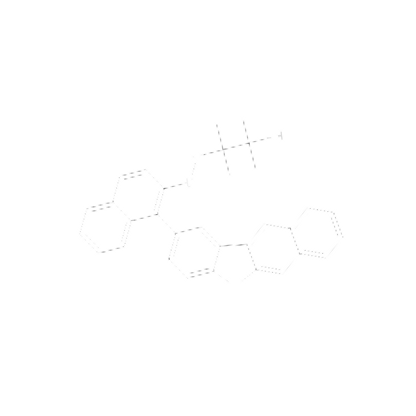 CC(C)(O)C(C)(C)OBc1ccc2ccccc2c1-c1ccc2oc3cc4ccccc4cc3c2c1